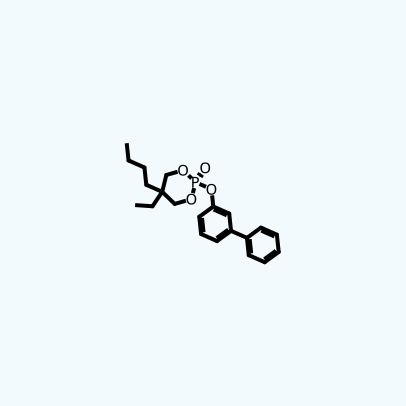 CCCCC1(CC)COP(=O)(Oc2cccc(-c3ccccc3)c2)OC1